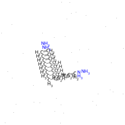 C=C.C=C.C=C.C=C.CC(=O)O.CC(=O)O.CC(=O)O.CC(=O)O.CC(=O)O.CC(=O)O.N.N.N.N